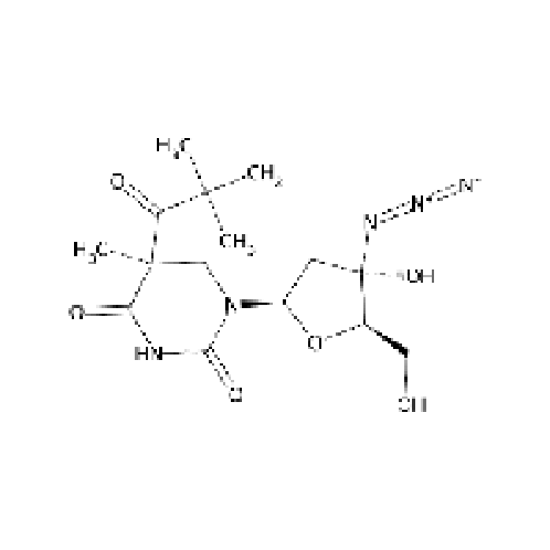 CC(C)(C)C(=O)C1(C)CN([C@H]2C[C@@](O)(N=[N+]=[N-])[C@@H](CO)O2)C(=O)NC1=O